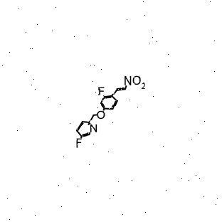 O=[N+]([O-])/C=C/c1ccc(OCc2ccc(F)cn2)cc1F